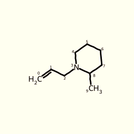 C=CCN1CCCCC1C